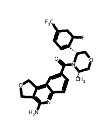 C[C@H]1COC[C@@H](C2=CC=C(C(F)(F)F)CC2F)N1C(=O)c1ccc2nc(N)c3c(c2c1)COC3